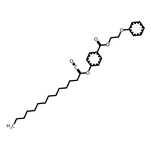 CCCCCCCCCCCCCC(=C=O)Oc1ccc(C(=O)OCCOc2ccccc2)cc1